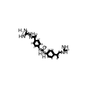 CC(=N)NCC(C)c1ccc(NC(=O)Nc2ccc(C(C)=NNC(=N)N)cc2)cc1